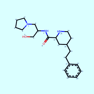 O=C(NC(CO)CN1CCCC1)C1CC(CCc2ccccc2)CCN1